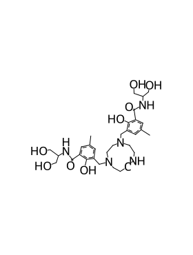 Cc1cc(CN2CCCNCCN(Cc3cc(C)cc(C(=O)NC(CO)CO)c3O)CC2)c(O)c(C(=O)NC(CO)CO)c1